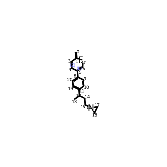 C=C(F)/C=C\C(=C/C)c1ccc(C(C)CCN2CC2)cc1